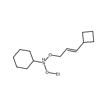 CCO[SiH](OCC=CC1CCC1)C1CCCCC1